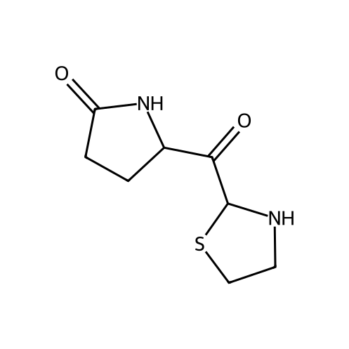 O=C1CCC(C(=O)C2NCCS2)N1